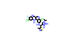 Cc1ncsc1[C@H](Nc1cc(Cl)c2ncc(C#N)c(Nc3ccc(F)c(Cl)c3)c2c1)C1=CN(C(C)C)NN1